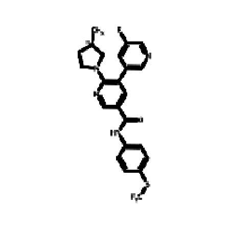 C[C@@H]1CCN(c2ncc(C(=O)Nc3ccc(SC(F)(F)F)cc3)cc2-c2cncc(F)c2)C1